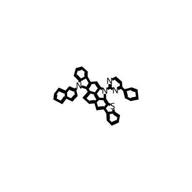 c1ccc(-c2ccnc(-n3c4cc5c6ccccc6n(-c6ccc7ccccc7c6)c5c5ccc6cc7c8ccccc8sc7c3c6c54)n2)cc1